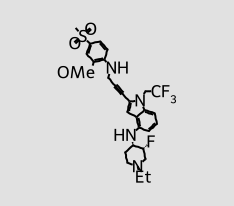 CCN1CC[C@H](Nc2cccc3c2cc(C#CCNc2ccc(S(C)(=O)=O)cc2OC)n3CC(F)(F)F)[C@H](F)C1